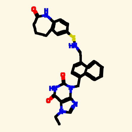 CCn1cnc2c1c(=O)[nH]c(=O)n2Cc1ccc(CNSc2ccc3c(c2)CCCC(=O)N3)c2ccccc12